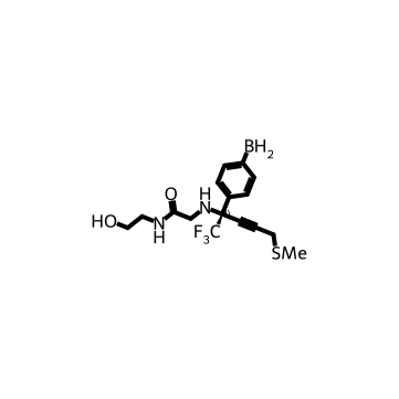 Bc1ccc([C@](C#CCSC)(NCC(=O)NCCO)C(F)(F)F)cc1